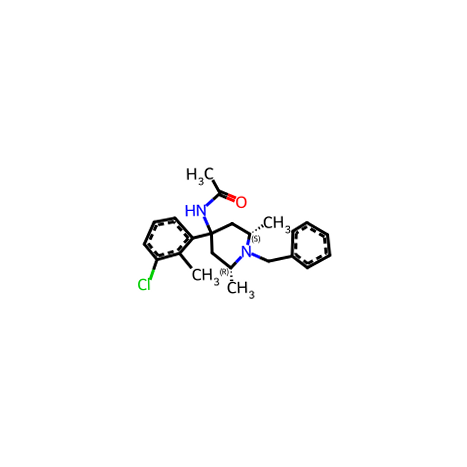 CC(=O)NC1(c2cccc(Cl)c2C)C[C@@H](C)N(Cc2ccccc2)[C@@H](C)C1